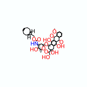 COc1cccc2c1C(=O)c1c(O)c3c(c(O)c1C2=O)C[C@@](O)(C(=O)CO)C[C@@H]3O[C@H]1C[C@H](NC(=O)OCC2[C@@H]3CCC#CCC[C@@H]23)[C@H](O)[C@H](C)O1